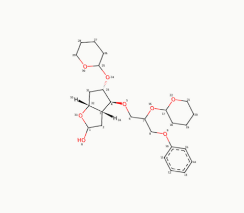 OC1C[C@H]2[C@H](OCC(COc3ccccc3)OC3CCCCO3)[C@@H](OC3CCCCO3)C[C@H]2O1